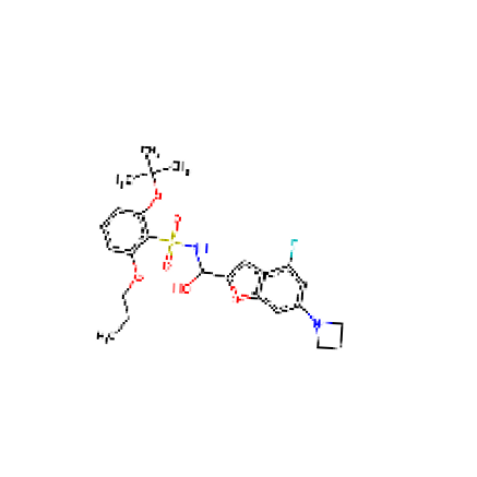 CCCOc1cccc(OC(C)(C)C)c1S(=O)(=O)NC(O)c1cc2c(F)cc(N3CCC3)cc2o1